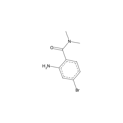 CN(C)C(=O)c1ccc(Br)cc1N